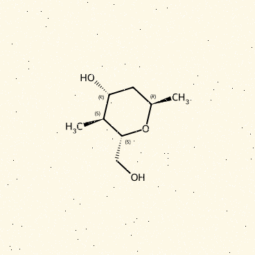 C[C@H]1[C@H](O)C[C@@H](C)O[C@@H]1CO